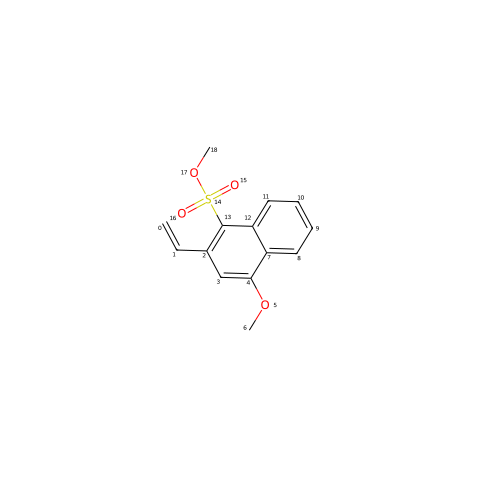 C=Cc1cc(OC)c2ccccc2c1S(=O)(=O)OC